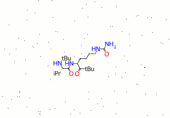 CC(C)[C@H](NC(C)(C)C)C(=O)N[C@@H](CCCCNC(N)=O)C(=O)C(C)(C)C